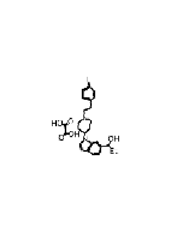 CCC(O)c1ccc2ccn(C3CCN(CCc4ccc(F)cc4)CC3)c2c1.O=C(O)C(=O)O